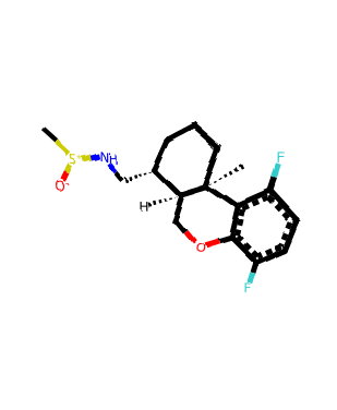 C[S+]([O-])NC[C@@H]1CCC[C@@]2(C)c3c(F)ccc(F)c3OC[C@@H]12